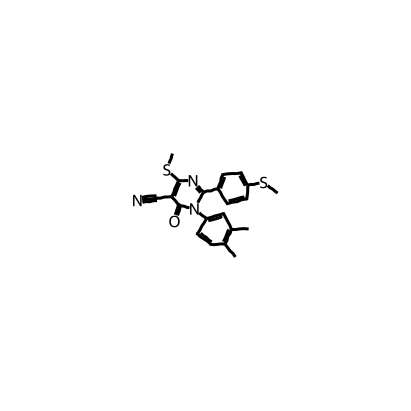 CSc1ccc(-c2nc(SC)c(C#N)c(=O)n2-c2ccc(C)c(C)c2)cc1